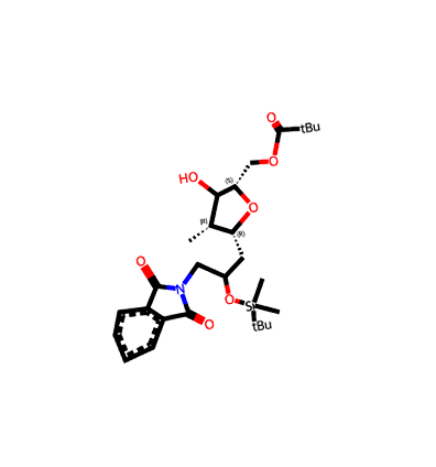 C[C@@H]1C(O)[C@H](COC(=O)C(C)(C)C)O[C@@H]1CC(CN1C(=O)c2ccccc2C1=O)O[Si](C)(C)C(C)(C)C